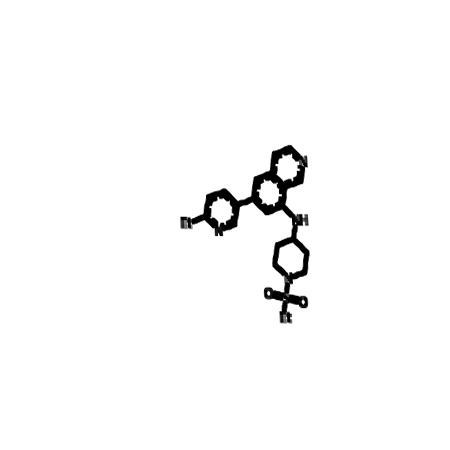 CCc1ccc(-c2cc(NC3CCN(S(=O)(=O)CC)CC3)c3cnccc3c2)cn1